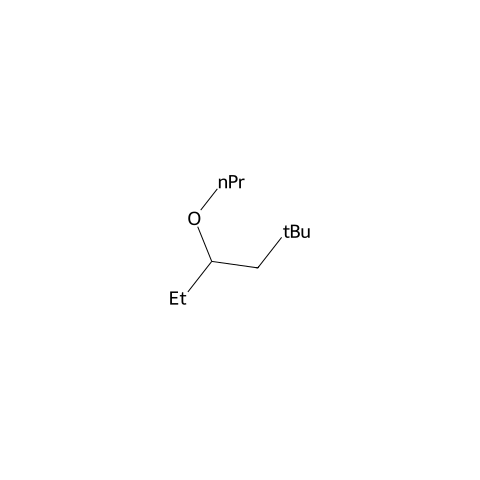 [CH2]CC(CC(C)(C)C)OCCC